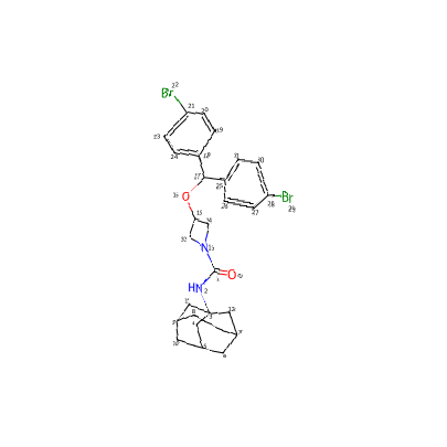 O=C(NC12CC3CC(CC(C3)C1)C2)N1CC(OC(c2ccc(Br)cc2)c2ccc(Br)cc2)C1